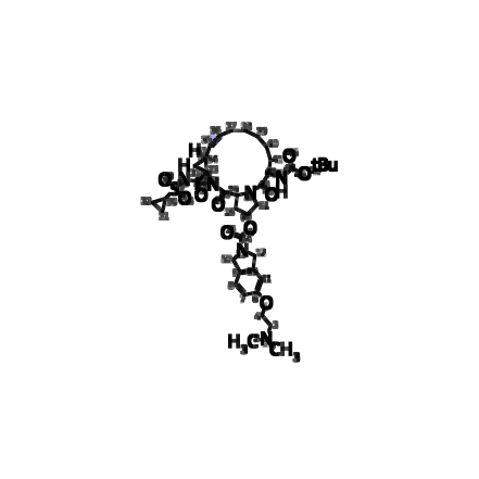 CN(C)CCOc1ccc2c(c1)CN(C(=O)O[C@@H]1CC3C(=O)N[C@]4(C(=O)NS(=O)(=O)C5CC5)C[C@H]4/C=C\CCCCC[C@H](NC(=O)OC(C)(C)C)C(=O)N3C1)C2